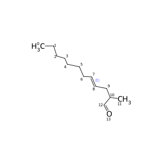 CCCCCCC/C=C/CC(C)C=O